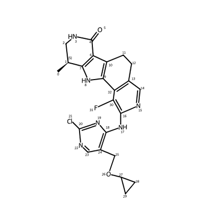 C[C@H]1CNC(=O)c2c1[nH]c1c2CCc2cnc(Nc3nc(Cl)ncc3COC3CC3)c(F)c2-1